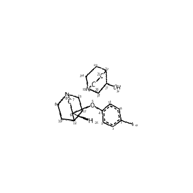 Ic1ccc(O[C@H]2CN3CCC2CC3)cc1.OC1CN2CCC1CC2